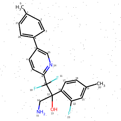 Cc1ccc(-c2ccc(C(F)(F)C(O)(CN)c3ccc(C)cc3F)nc2)cc1